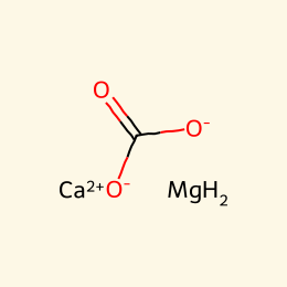 O=C([O-])[O-].[Ca+2].[MgH2]